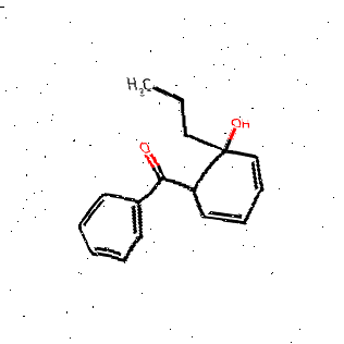 CCCC1(O)C=CC=CC1C(=O)c1ccccc1